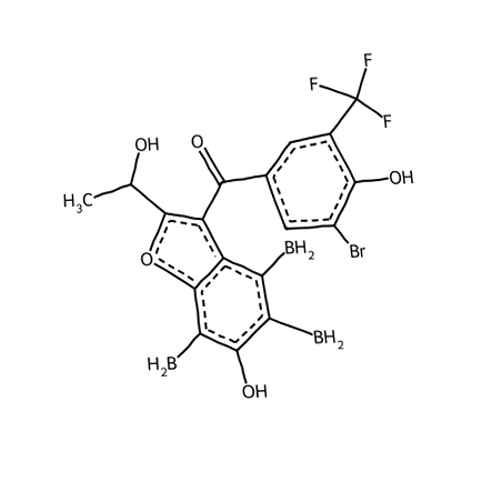 Bc1c(O)c(B)c2oc(C(C)O)c(C(=O)c3cc(Br)c(O)c(C(F)(F)F)c3)c2c1B